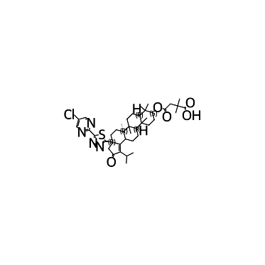 CC(C)C1=C2C3CC[C@@H]4C5(C)CC[C@H](OC(=O)CC(C)(C)C(=O)O)C(C)(C)[C@@H]5CCC4(C)[C@]3(C)CC[C@@]2(c2nnc(-c3ncc(Cl)cn3)s2)CC1=O